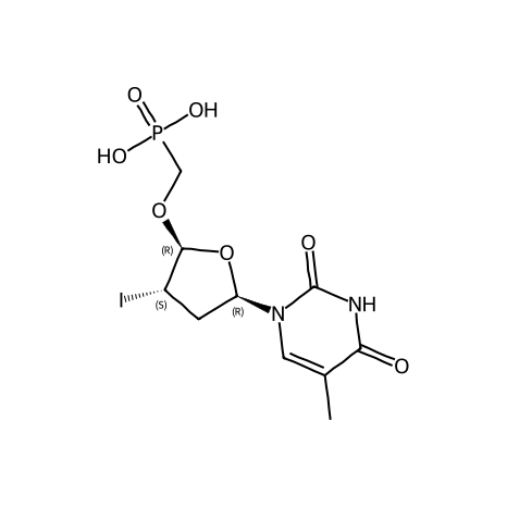 Cc1cn([C@H]2C[C@H](I)[C@@H](OCP(=O)(O)O)O2)c(=O)[nH]c1=O